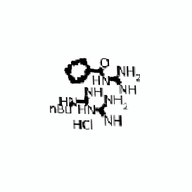 CCCCNC(=N)NC(=N)N.Cl.N=C(N)NC(=O)c1ccccc1